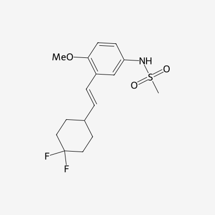 COc1ccc(NS(C)(=O)=O)cc1C=CC1CCC(F)(F)CC1